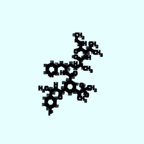 CCNC(=O)[C@@H](NC(=O)[C@H](C)NC[C@H](Cc1cccnc1)NC(=O)c1cc(C(=O)N[C@H](C)c2ccc(F)cc2)cc(N(C)S(C)(=O)=O)c1)C(C)C